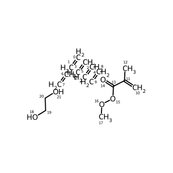 C=C.C=C.C=C.C=C.C=C.C=C(C)C(=O)OOC.OCCO